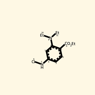 CCOC(=O)c1ccc(NCl)cc1N(CC)CC